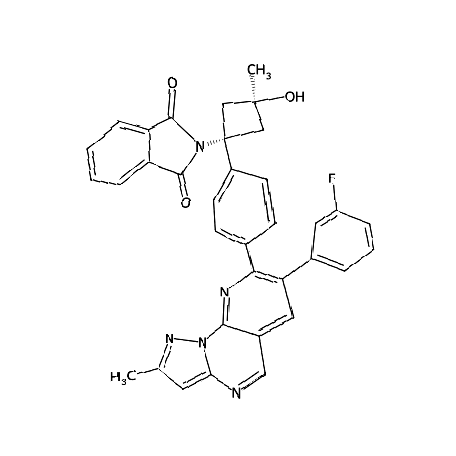 Cc1cc2ncc3cc(-c4cccc(F)c4)c(-c4ccc([C@]5(N6C(=O)c7ccccc7C6=O)C[C@](C)(O)C5)cc4)nc3n2n1